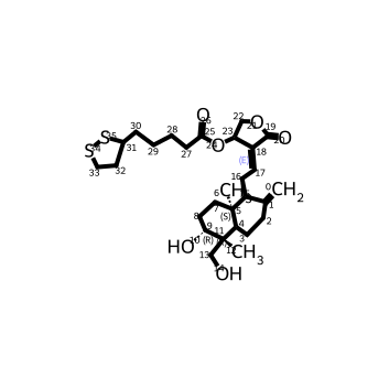 C=C1CCC2[C@@](C)(CC[C@@H](O)[C@@]2(C)CO)C1C/C=C1/C(=O)OCC1OC(=O)CCCCC1CCSS1